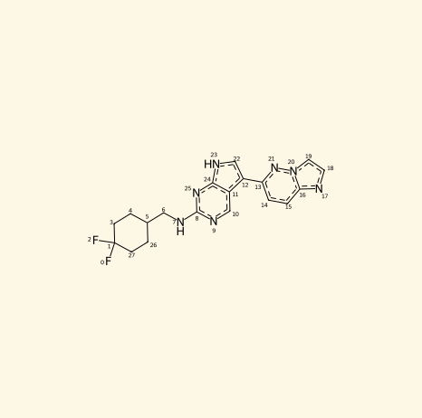 FC1(F)CCC(CNc2ncc3c(-c4ccc5nccn5n4)c[nH]c3n2)CC1